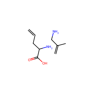 C=C(C)CN.C=CCC(N)C(=O)O